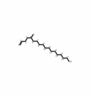 C=CCCC(C)CCCCCCCCCCCCC